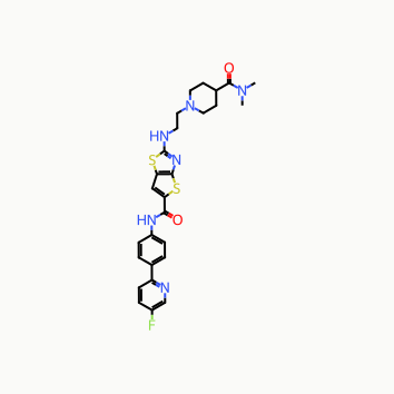 CN(C)C(=O)C1CCN(CCNc2nc3sc(C(=O)Nc4ccc(-c5ccc(F)cn5)cc4)cc3s2)CC1